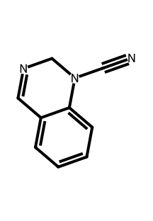 N#CN1CN=Cc2ccccc21